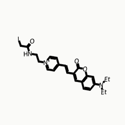 CCN(CC)c1ccc2cc(/C=C/c3cc[n+](CCNC(=O)CI)cc3)c(=O)oc2c1